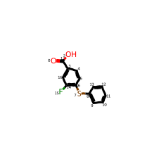 O=C(O)c1ccc(Sc2ccccc2)c(F)c1